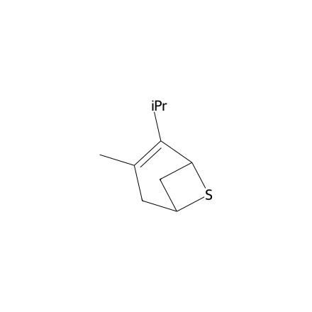 CC1=C(C(C)C)C2CC(C1)S2